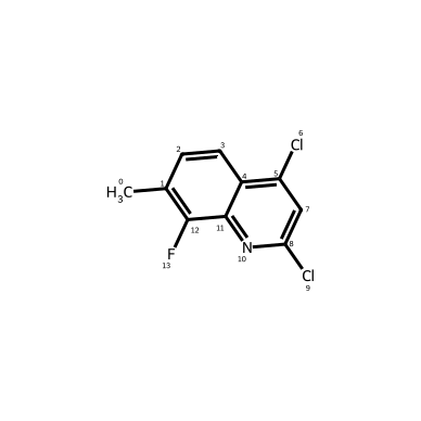 Cc1ccc2c(Cl)cc(Cl)nc2c1F